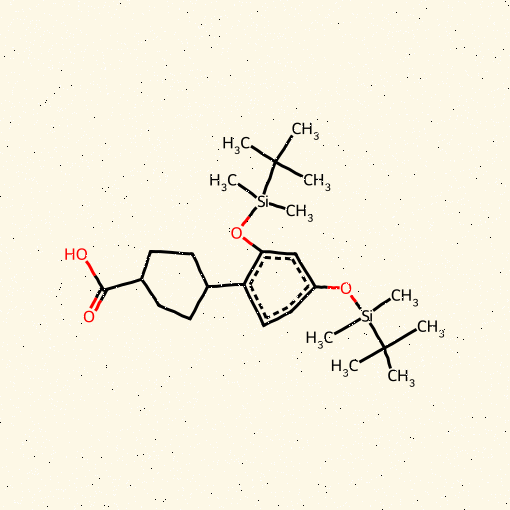 CC(C)(C)[Si](C)(C)Oc1ccc(C2CCC(C(=O)O)CC2)c(O[Si](C)(C)C(C)(C)C)c1